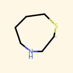 [CH]1CNCCCCS1